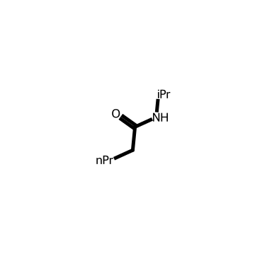 [CH2]C(C)NC(=O)CCCC